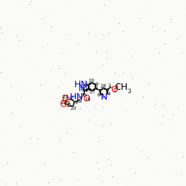 COCc1cncc(-c2ccc3[nH]nc(C(=O)NCC4CCS(=O)(=O)C4)c3c2)c1